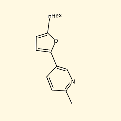 CCCCCCc1ccc(-c2ccc(C)nc2)o1